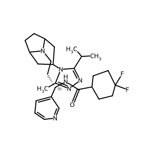 Cc1nnc(C(C)C)n1C1CC2CCC(C1)N2CC[C@H](NC(=O)C1CCC(F)(F)CC1)c1cccnc1